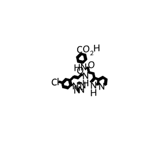 O=C(/C=C/c1cc(Cl)ccc1-n1cnnn1)NC(Cc1c[nH]c2ncccc12)C(=O)Nc1ccc(C(=O)O)cc1